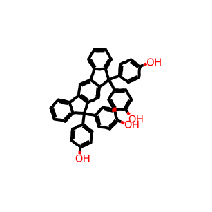 Oc1ccc(C2(c3ccc(O)cc3)c3ccccc3-c3cc4c(cc32)C(c2ccc(O)cc2)(c2ccc(O)cc2)c2ccccc2-4)cc1